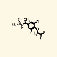 Cc1cc(C(C)N[S+]([O-])C(C)(C)C)cc(Cl)c1OCC(F)F